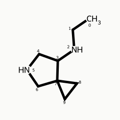 CCNC1CNCC12CC2